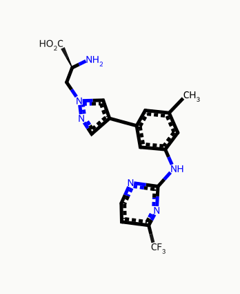 Cc1cc(Nc2nccc(C(F)(F)F)n2)cc(-c2cnn(C[C@H](N)C(=O)O)c2)c1